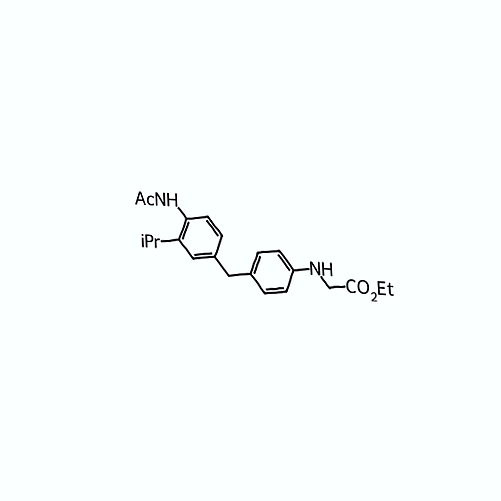 CCOC(=O)CNc1ccc(Cc2ccc(NC(C)=O)c(C(C)C)c2)cc1